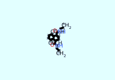 C=CCNC(=O)c1ccc(C(=O)NCC=C)c2c(C(=O)O)ccc(C(=O)O)c12